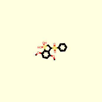 COc1ccc(OC)c2c1C(S(=O)(=O)c1ccccc1)CS2(O)O